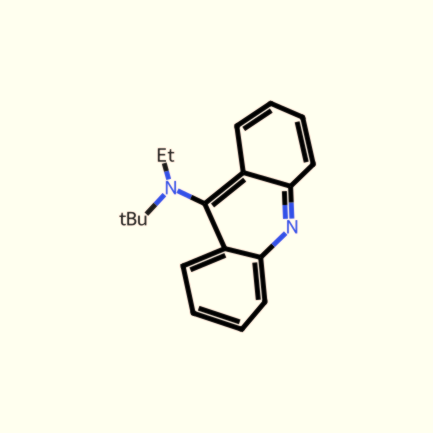 CCN(c1c2ccccc2nc2ccccc12)C(C)(C)C